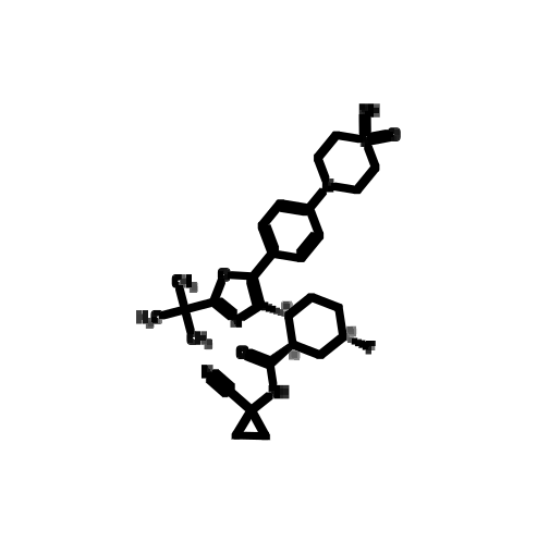 CC(C)(C)c1nc([C@@H]2CC[C@H](F)C[C@H]2C(=O)NC2(C#N)CC2)c(-c2ccc(N3CCS(=N)(=O)CC3)cc2)o1